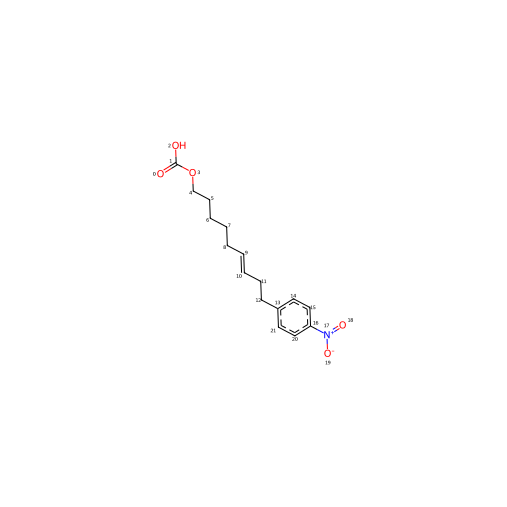 O=C(O)OCCCCCC=CCCc1ccc([N+](=O)[O-])cc1